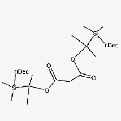 CCCCCCCCCC[Si](C)(C)C(C)(C)OC(=O)CC(=O)OC(C)(C)[Si](C)(C)CCCCCCCCCC